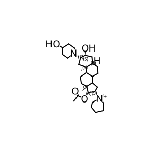 CC(=O)O[C@H]1[C@@H]([N+]2(C)CCCCC2)CC2C3CC[C@H]4C[C@H](O)[C@@H](N5CCC(O)CC5)C[C@]4(C)C3CC[C@@]21C